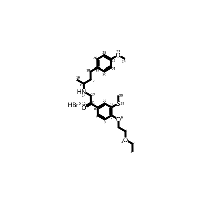 Br.CCOCCOc1ccc(C(=O)CNC(C)CCc2ccc(OC)cc2)cc1SC